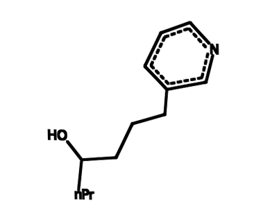 CCCC(O)CCCc1cccnc1